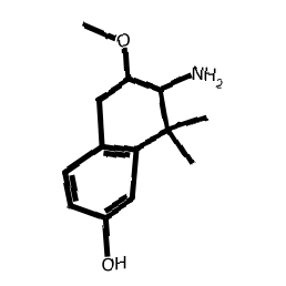 COC1Cc2ccc(O)cc2C(C)(C)C1N